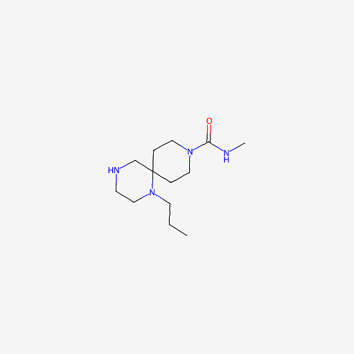 CCCN1CCNCC12CCN(C(=O)NC)CC2